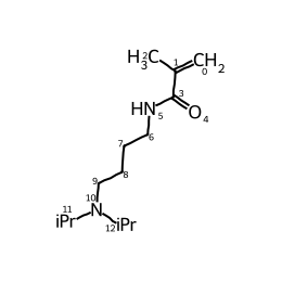 C=C(C)C(=O)NCCCCN(C(C)C)C(C)C